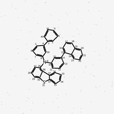 c1ccc(-c2cccc(N(c3cccc(-c4cccc5ccccc45)c3)c3cccc4sc5ccccc5c34)c2)cc1